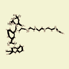 CCC1(CC)CC(=O)N([C@H](CCOCCOCCOCCN=[N+]=[N-])c2cccc(C(=O)N[C@H]3CC(C)(C)Cc4ccccc43)c2)C(=N)N1